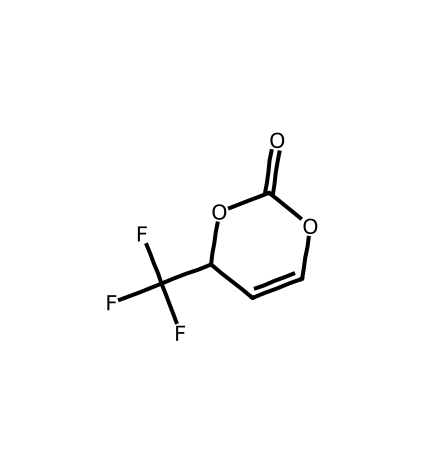 O=C1OC=CC(C(F)(F)F)O1